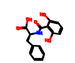 O=C(N[C@@H](Cc1ccccc1)C(=O)O)c1c(O)cccc1O